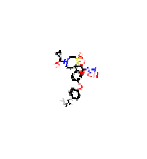 Cc1ccc(Oc2ccc(C3(CC(=O)NO)CCN(C(=O)C4CC4)CCS3(=O)=O)cc2)cc1